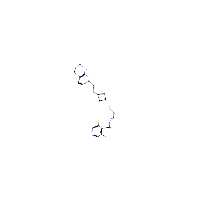 O=C(N[C@@H](CCOC1CC(CCc2ccc3c(n2)NCCC3)C1)C(=O)O)c1c(Cl)cncc1C(F)(F)F